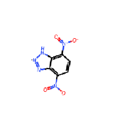 O=[N+]([O-])c1ccc([N+](=O)[O-])c2c1N=[N+]N2